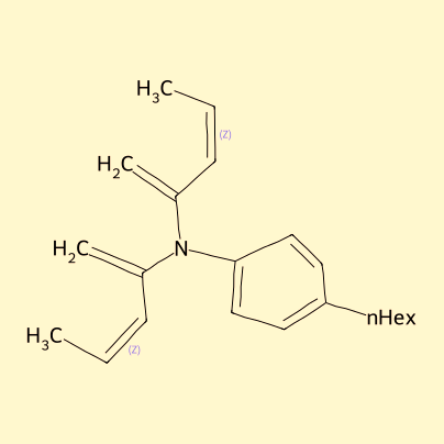 C=C(/C=C\C)N(C(=C)/C=C\C)c1ccc(CCCCCC)cc1